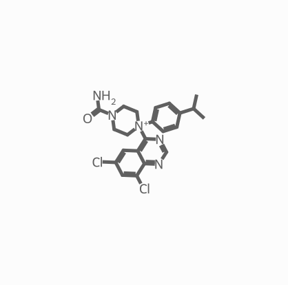 CC(C)c1ccc([N+]2(c3ncnc4c(Cl)cc(Cl)cc34)CCN(C(N)=O)CC2)cc1